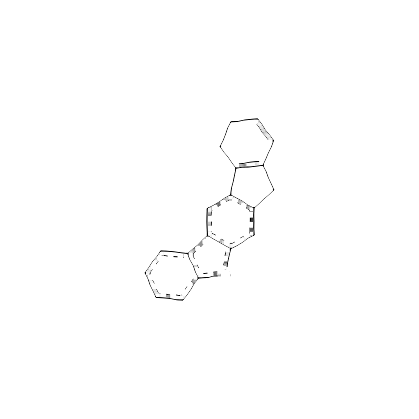 C1=CC2=C(CC1)c1cc3c(cc1C2)oc1ccccc13